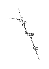 CCCCCCCCCC(=O)OCCCCCCCCOc1ccc(OCCCCCOC(=O)CCC(OCCCCCCCC)OCCCCCCCC)cc1C=O